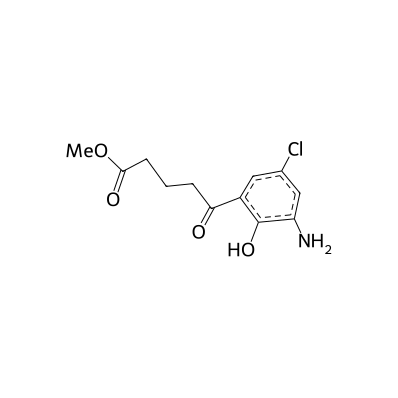 COC(=O)CCCC(=O)c1cc(Cl)cc(N)c1O